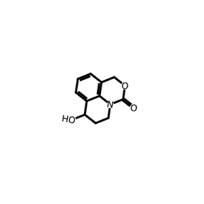 O=C1OCc2cccc3c2N1CCC3O